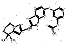 CC(=O)Nc1cc(Oc2cnc3nc(Nc4cc5n(n4)CCCC5(C)C)sc3n2)ccn1